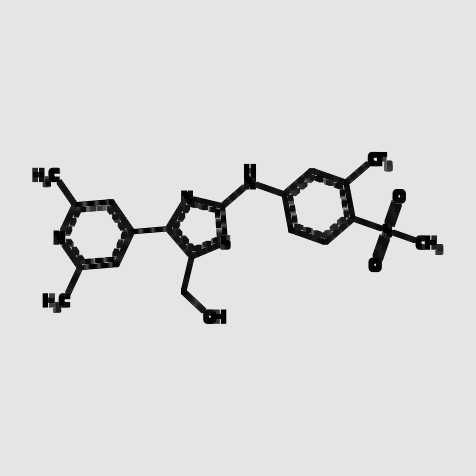 Cc1cc(-c2nc(Nc3ccc(S(C)(=O)=O)c(C(F)(F)F)c3)sc2CO)cc(C)n1